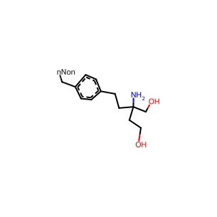 CCCCCCCCCCc1ccc(CCC(N)(CO)CCO)cc1